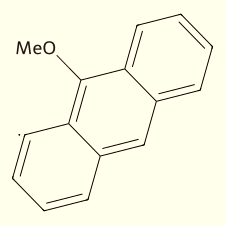 COc1c2[c]cccc2cc2ccccc12